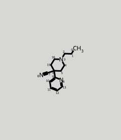 CCCN1CCC(C#N)(c2ccccn2)CC1